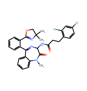 CN1C(=O)C(NC(=O)CCc2ccc(Cl)cc2Cl)N=C(c2ccccc2C2=NC(C)(C)CO2)c2ccccc21